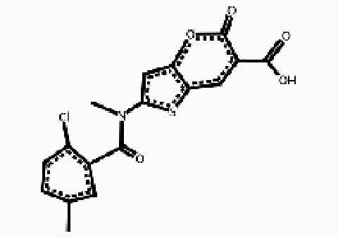 Cc1ccc(Cl)c(C(=O)N(C)c2cc3oc(=O)c(C(=O)O)cc3s2)c1